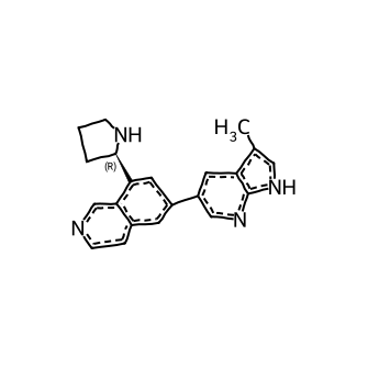 Cc1c[nH]c2ncc(-c3cc([C@H]4CCCN4)c4cnccc4c3)cc12